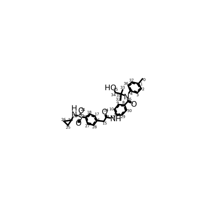 Cc1ccc(N(C(=O)c2ccc(NC(=O)Cc3ccc(S(=O)(=O)NC4CC4)cc3)cc2)C(C)(C)CO)cc1